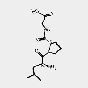 CC(C)C[C@H](N)C(=O)N1CCC[C@H]1C(=O)NCC(=O)O